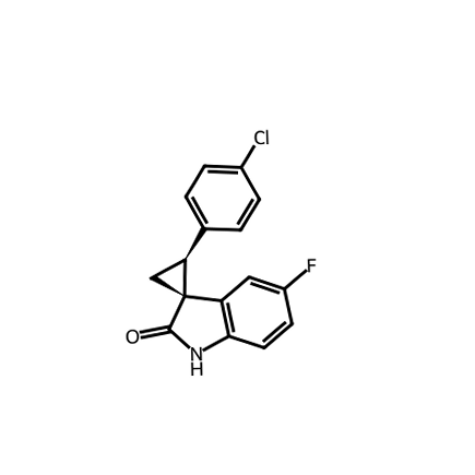 O=C1Nc2ccc(F)cc2[C@]12C[C@H]2c1ccc(Cl)cc1